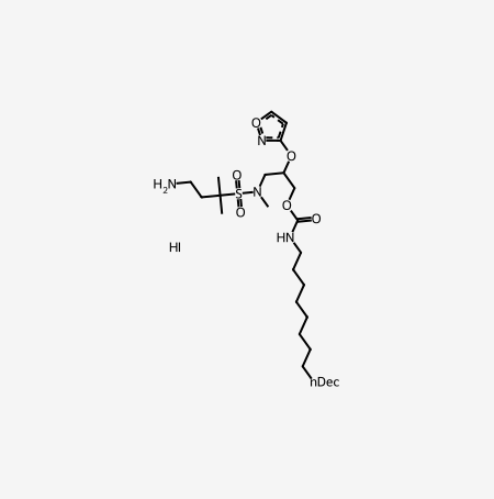 CCCCCCCCCCCCCCCCCCNC(=O)OCC(CN(C)S(=O)(=O)C(C)(C)CCN)Oc1ccon1.I